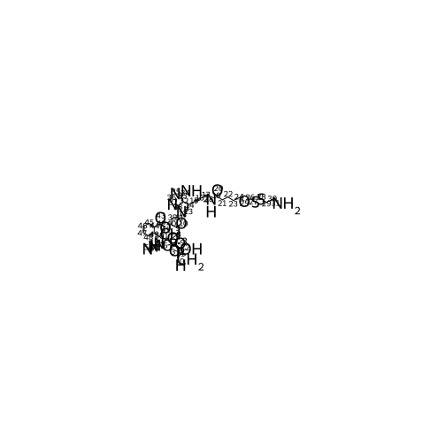 C=[PH](O)OP(=O)(O)OC[C@H]1O[C@@H](n2cc(C#CCNC(=O)CCCCOCSSCCN)c3c(N)ncnc32)CC1OC(=O)c1ccccc1C(C)N=[N+]=[N-]